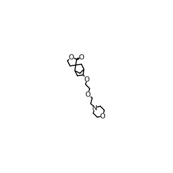 O=C1OCCC12CC1CC2CC1OCCOCCN1CCOCC1